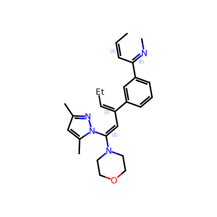 C/C=C\C(=N/C)c1cccc(C(=C\CC)/C=C(/N2CCOCC2)n2nc(C)cc2C)c1